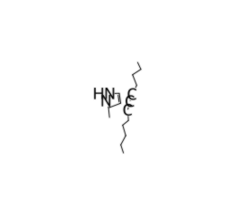 CCCCCCCCCCCC.Cc1cc[nH]n1